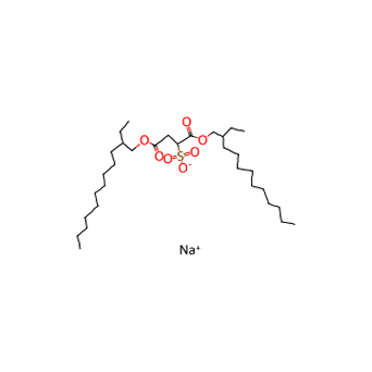 CCCCCCCCCCC(CC)COC(=O)CC(C(=O)OCC(CC)CCCCCCCCCC)S(=O)(=O)[O-].[Na+]